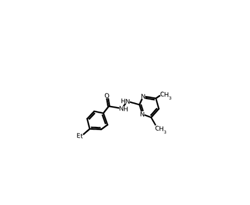 CCc1ccc(C(=O)NNc2nc(C)cc(C)n2)cc1